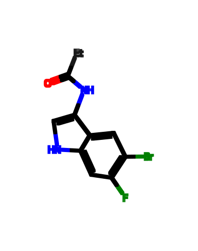 CCC(=O)Nc1c[nH]c2cc(F)c(Br)cc12